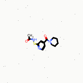 CC(=O)NSc1cc(C(=O)N2CCCCC2)ccn1